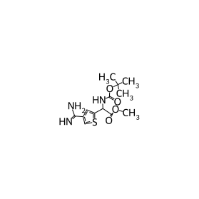 COC(=O)C(NC(=O)OC(C)(C)C)c1cc(C(=N)N)cs1